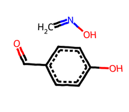 C=NO.O=Cc1ccc(O)cc1